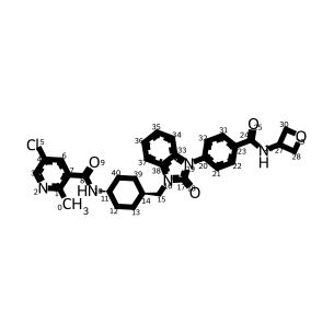 Cc1ncc(Cl)cc1C(=O)N[C@H]1CC[C@H](Cn2c(=O)n(-c3ccc(C(=O)NC4COC4)cc3)c3ccccc32)CC1